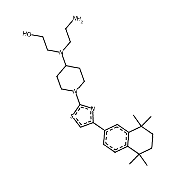 CC1(C)CCC(C)(C)c2cc(-c3csc(N4CCC(N(CCN)CCO)CC4)n3)ccc21